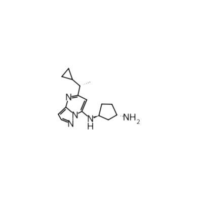 C[C@H](c1cc(N[C@H]2CC[C@H](N)C2)n2nccc2n1)C1CC1